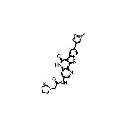 C[C@H]1CCCN1CC(=O)Nc1cnc2c(c1)[nH]c(=O)c1c2nn2cc(-c3cnn(C)c3)sc12